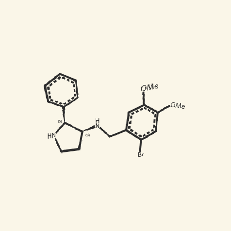 COc1cc(Br)c(CN[C@H]2CCN[C@H]2c2ccccc2)cc1OC